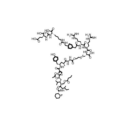 CCCC(=O)OCN(C(=O)[C@@H](NC(=O)[C@H]1CCCCN1C)C(C)CC)[C@H](C[C@@H](OC(C)=O)c1nc(C(=O)N[C@@H](Cc2ccc(O)cc2)C[C@H](C)C(=O)NNC(=O)OCCSSC[C@H](NC(=O)[C@H](CCCNC(=N)N)NC(=O)[C@H](CCCNC(=N)N)NC(=O)Cc2ccc(CNC(=O)NCCCC[C@H](NC(=O)N[C@@H](CCC(=O)O)C(=O)O)C(=O)O)cc2)C(=O)O)cs1)C(C)C